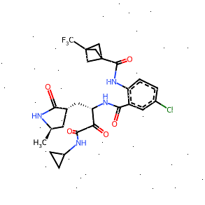 C[C@@H]1C[C@@H](C[C@H](NC(=O)c2cc(Cl)ccc2NC(=O)C23CC(C(F)(F)F)(C2)C3)C(=O)C(=O)NC2CC2)C(=O)N1